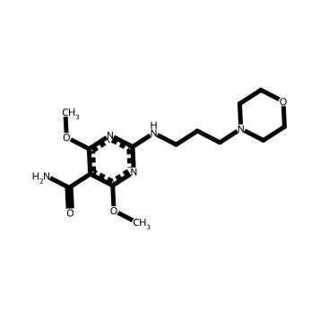 COc1nc(NCCCN2CCOCC2)nc(OC)c1C(N)=O